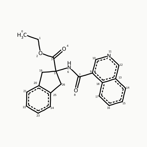 CCOC(=O)C1(NC(=O)c2cncc3ccccc23)Cc2ccccc2C1